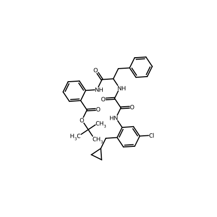 CC(C)(C)OC(=O)c1ccccc1NC(=O)C(Cc1ccccc1)NC(=O)C(=O)Nc1cc(Cl)ccc1CC1CC1